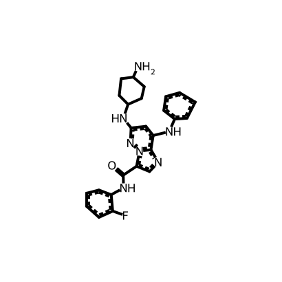 NC1CCC(Nc2cc(Nc3ccccc3)c3ncc(C(=O)Nc4ccccc4F)n3n2)CC1